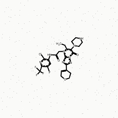 CCc1c(N2CCNCC2)c(=O)n2nc(C3=CCOCC3)nc2n1CC(=O)Nc1cc(F)c(C(F)(F)F)nc1Cl